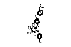 CCn1c(=O)[nH]/c(=N\c2ccc(Oc3ccnc(CN(C)C)c3)cc2)n(Cc2ccc(Cl)cc2)c1=O